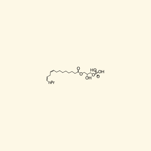 CCC/C=C\C/C=C\CCCCCCCC(=O)OCC(O)COP(=O)(O)O